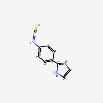 S=C=Nc1ccc(-c2ncc[nH]2)cc1